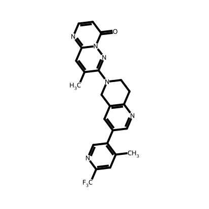 Cc1cc(C(F)(F)F)ncc1-c1cnc2c(c1)CN(c1nn3c(=O)ccnc3cc1C)CC2